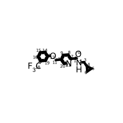 O=C(NCC1CC1)c1ccc(COc2cccc(C(F)(F)F)c2)cn1